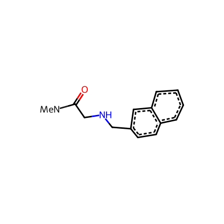 CNC(=O)CNCc1ccc2ccccc2c1